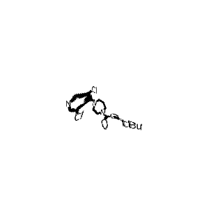 CC(C)(C)OC(=O)N1CCCN(c2c(Cl)cncc2Cl)CC1